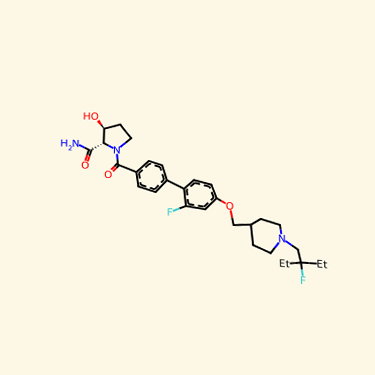 CCC(F)(CC)CN1CCC(COc2ccc(-c3ccc(C(=O)N4CC[C@H](O)[C@H]4C(N)=O)cc3)c(F)c2)CC1